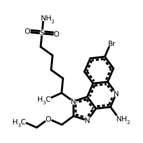 CCOCc1nc2c(N)nc3cc(Br)ccc3c2n1C(C)CCCCS(N)(=O)=O